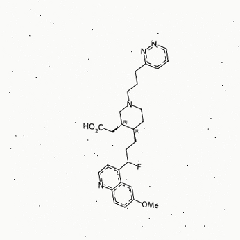 COc1ccc2nccc(C(F)CC[C@@H]3CCN(CCCc4cccnn4)C[C@@H]3CC(=O)O)c2c1